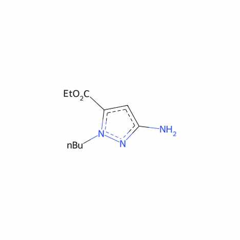 CCCCn1nc(N)cc1C(=O)OCC